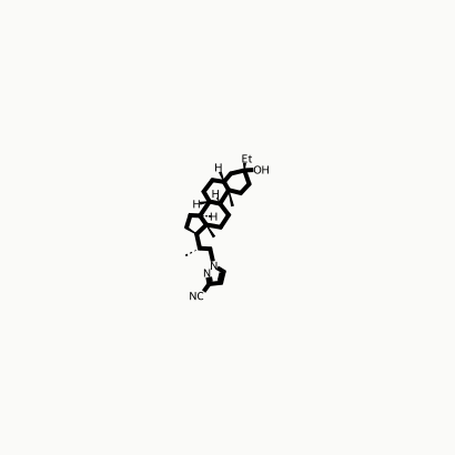 CC[C@@]1(O)CC[C@@]2(C)[C@H](CC[C@@H]3[C@@H]2CC[C@]2(C)[C@@H]([C@@H](C)Cn4ccc(C#N)n4)CC[C@@H]32)C1